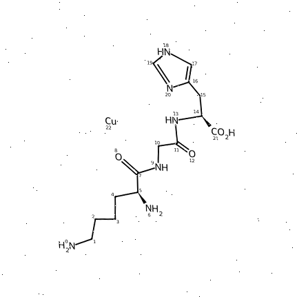 NCCCC[C@H](N)C(=O)NCC(=O)N[C@@H](Cc1c[nH]cn1)C(=O)O.[Cu]